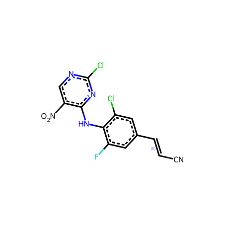 N#C/C=C/c1cc(F)c(Nc2nc(Cl)ncc2[N+](=O)[O-])c(Cl)c1